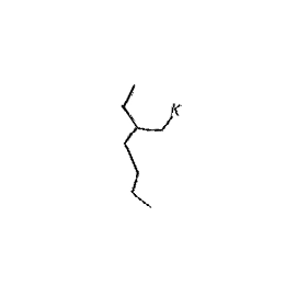 CCCCC(CC)[CH2][K]